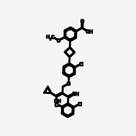 COc1ccc(C(=O)O)cc1C1CC(c2ccc(OC/C(C(=N)c3c(Cl)cccc3Cl)=C(/O)C3CC3)cc2Cl)C1